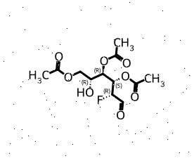 CC(=O)OC[C@@H](O)[C@@H](OC(C)=O)[C@H](OC(C)=O)[C@@H](F)C=O